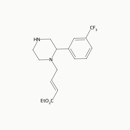 CCOC(=O)/C=C/CN1CCNCC1c1cccc(C(F)(F)F)c1